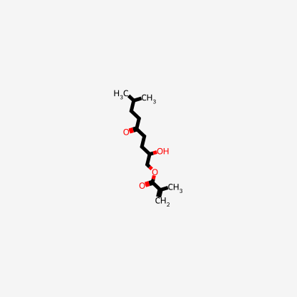 C=C(C)C(=O)OCC(O)CCC(=O)CCC(C)C